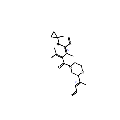 C=C/C=C(\C)C1CN(C(=O)C(=C(C)C)/C(C)=C(/N=C)NC2(C)CC2)CCO1